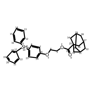 O=C(OCCOc1ccc([SH](c2ccccc2)c2ccccc2)cc1)C12CC3CC(CC(C3)C1)C2